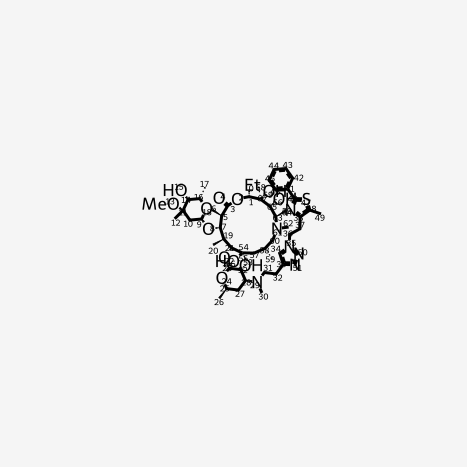 CC[C@H]1OC(=O)[C@H](C)[C@@H](O[C@H]2C[C@@](C)(OC)[C@@H](O)[C@H](C)O2)[C@H](C)[C@@H](O[C@@H]2O[C@H](C)C[C@H](N(C)CCc3cn(CCc4nc(-c5ccccc5)sc4C)nn3)[C@H]2O)[C@](C)(O)C[C@@H](C)CN(C)[C@H](C)[C@@H](O)[C@]1(C)O